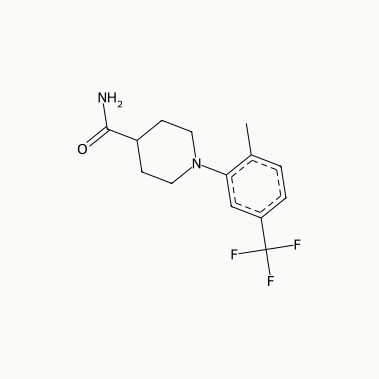 Cc1ccc(C(F)(F)F)cc1N1CCC(C(N)=O)CC1